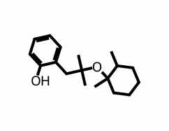 CC1CCCCC1(C)OC(C)(C)Cc1ccccc1O